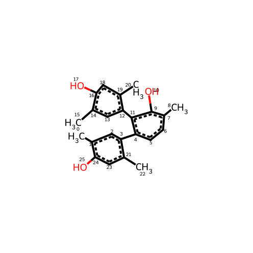 Cc1cc(-c2ccc(C)c(O)c2-c2cc(C)c(O)cc2C)c(C)cc1O